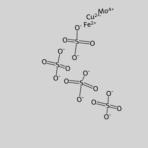 O=S(=O)([O-])[O-].O=S(=O)([O-])[O-].O=S(=O)([O-])[O-].O=S(=O)([O-])[O-].[Cu+2].[Fe+2].[Mo+4]